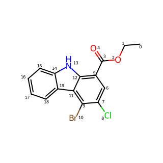 CCOC(=O)c1cc(Cl)c(Br)c2c1[nH]c1ccccc12